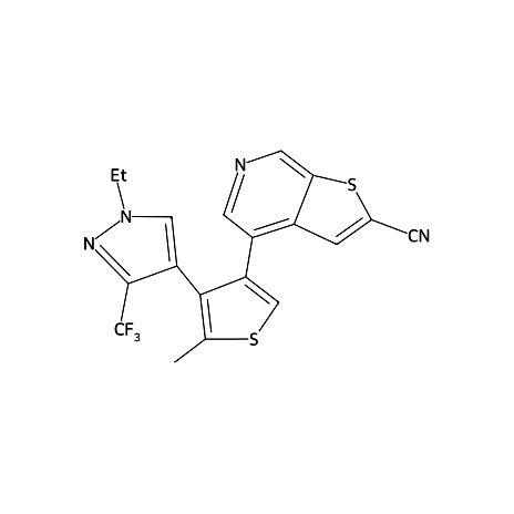 CCn1cc(-c2c(-c3cncc4sc(C#N)cc34)csc2C)c(C(F)(F)F)n1